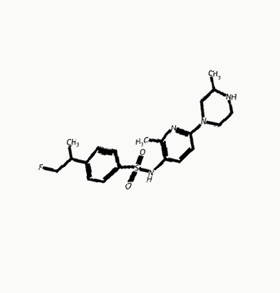 Cc1nc(N2CCNC(C)C2)ccc1NS(=O)(=O)c1ccc(C(C)CF)cc1